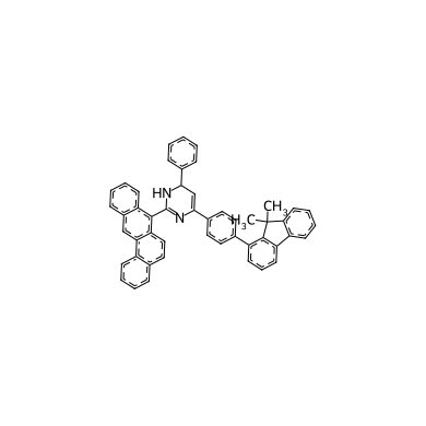 CC1(C)c2ccccc2-c2cccc(-c3ccc(C4=CC(c5ccccc5)NC(c5c6ccccc6cc6c5ccc5ccccc56)=N4)cc3)c21